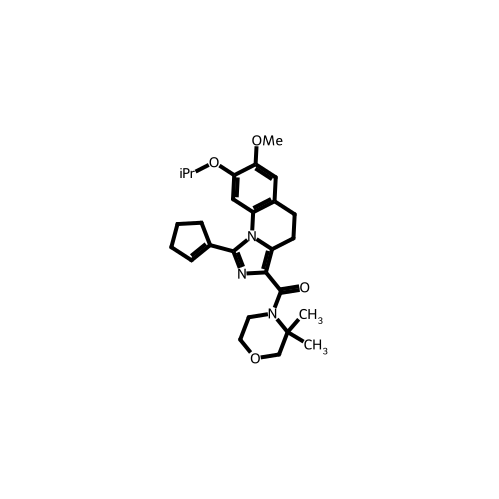 COc1cc2c(cc1OC(C)C)-n1c(C3=CCCC3)nc(C(=O)N3CCOCC3(C)C)c1CC2